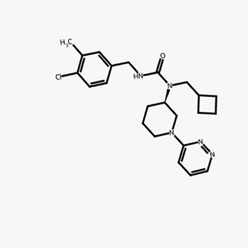 Cc1cc(CNC(=O)N(CC2CCC2)[C@@H]2CCCN(c3cccnn3)C2)ccc1Cl